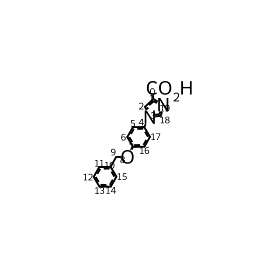 O=C(O)c1cn(-c2ccc(OCc3ccccc3)cc2)cn1